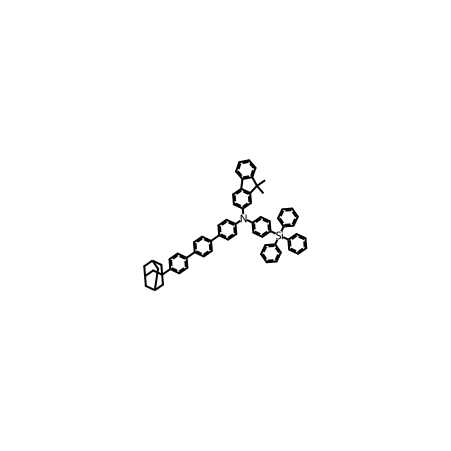 CC1(C)c2ccccc2-c2ccc(N(c3ccc(-c4ccc(-c5ccc(C67CC8CC(CC(C8)C6)C7)cc5)cc4)cc3)c3ccc([Si](c4ccccc4)(c4ccccc4)c4ccccc4)cc3)cc21